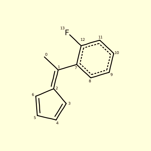 CC(=C1C=CC=C1)c1ccccc1F